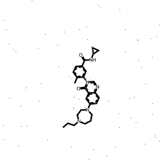 CCCN1CCCN(c2ccc3ncn(-c4cc(C(=O)NC5CC5)ccc4C)c(=O)c3c2)CC1